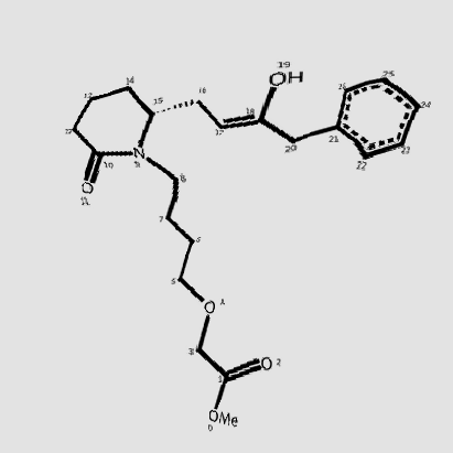 COC(=O)COCCCCN1C(=O)CCC[C@@H]1C/C=C(\O)Cc1ccccc1